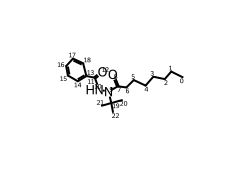 CCCCCCCC(=O)N(NC(=O)c1ccccc1)C(C)(C)C